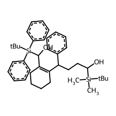 CC(C)(C)[Si](C)(C)C(O)CCC(C1=C(C(O)[Si](c2ccccc2)(c2ccccc2)C(C)(C)C)CCCC1)c1ccccc1